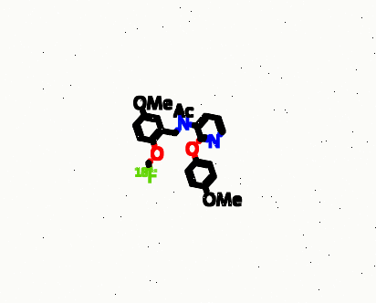 COc1ccc(Oc2ncccc2N(Cc2cc(OC)ccc2OC[18F])C(C)=O)cc1